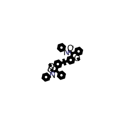 CO/C(=N\c1ccccc1)C(c1ccccc1)c1cc(C(C)(C)c2ccc(OC)c(C(/C(=N/c3ccccc3)OC)c3ccccc3)c2)ccc1OC